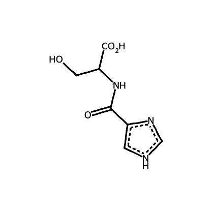 O=C(NC(CO)C(=O)O)c1c[nH]cn1